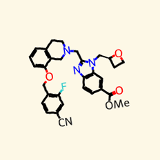 COC(=O)c1ccc2nc(CN3CCc4cccc(OCc5ccc(C#N)cc5F)c4C3)n(C[C@@H]3CCO3)c2c1